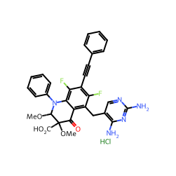 COC1N(c2ccccc2)c2c(F)c(C#Cc3ccccc3)c(F)c(Cc3cnc(N)nc3N)c2C(=O)C1(OC)C(=O)O.Cl